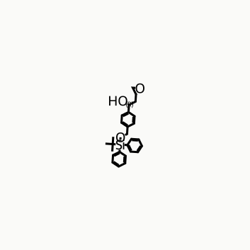 CC(C)(C)[Si](OCc1ccc([C@H](O)CC2CO2)cc1)(c1ccccc1)c1ccccc1